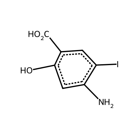 Nc1cc(O)c(C(=O)O)cc1I